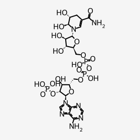 NC(=O)C1=CN([C@@H]2O[C@@H](CO[P@@](=O)(O)O[P@](=O)(O)OC[C@@H]3O[C@@H](n4cnc5c(N)ncnc54)[C@H](OP(=O)(O)O)[C@H]3O)[C@H](O)[C@H]2O)[C@@H](O)[C@H](O)C1